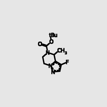 CC1c2c(F)cnn2CCN1C(=O)OC(C)(C)C